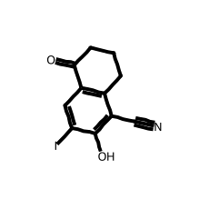 N#Cc1c(O)c(I)cc2c1CCCC2=O